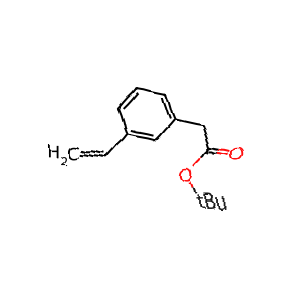 C=Cc1cccc(CC(=O)OC(C)(C)C)c1